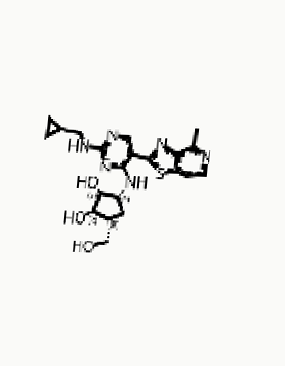 Cc1nccc2sc(-c3cnc(NCC4CC4)nc3N[C@@H]3C[C@H](CO)[C@@H](O)[C@H]3O)nc12